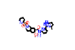 COc1cc2c(cc1C(=O)Nc1cccc(-c3nnc4n3[C@H](C)CC4)n1)CN(S(=O)(=O)c1ccccn1)CC2